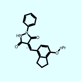 CCCOc1ccc(/C=C2/C(=O)NN(c3ccccc3)C2=O)c2c1CCC2